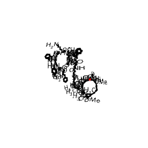 COc1cc2cc(c1Cl)N(C)C(=O)C[C@H](OC(=O)[C@H](C)N(C)C(=O)CCSSCCC(=O)NCCNC(=O)[C@H](Cc1c[nH]c3ccccc13)NC(=O)[C@@H]1CSSC[C@H](NC(=O)[C@H](N)Cc3ccccc3)C(=O)N[C@@H](Cc3ccc(O)cc3)C(=O)N[C@H](Cc3c[nH]c4ccccc34)C(=O)N[C@@H](CCCCCN)C(=O)N[C@@H]([C@@H](C)O)C(=O)N1)[C@]1(C)O[C@H]1[C@H](C)[C@@H]1C[C@@](O)(NC(=O)O1)[C@H](OC)/C=C/C=C(\C)C2